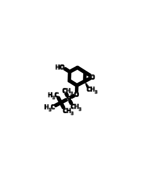 CC(C)(C)[Si](C)(C)OC1CC(O)CC2O[C@]21C